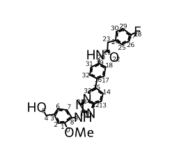 COc1cc(CO)ccc1Nc1nc2ccc(-c3ccc(NC(=O)Cc4ccc(F)cc4)cc3)cn2n1